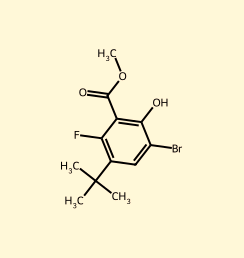 COC(=O)c1c(O)c(Br)cc(C(C)(C)C)c1F